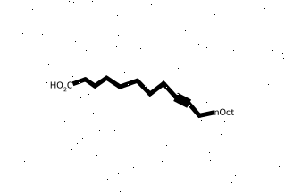 CCCCCCCCCC#CCCCCCCCC(=O)O